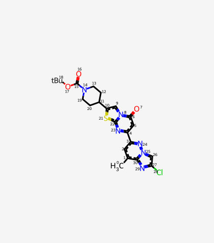 Cc1cc(-c2cc(=O)n3cc(C4CCN(C(=O)OC(C)(C)C)CC4)sc3n2)nn2cc(Cl)nc12